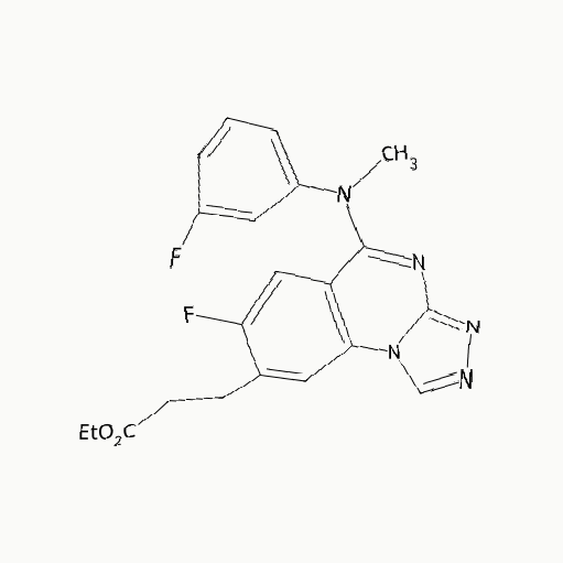 CCOC(=O)CCc1cc2c(cc1F)c(N(C)c1cccc(F)c1)nc1nncn12